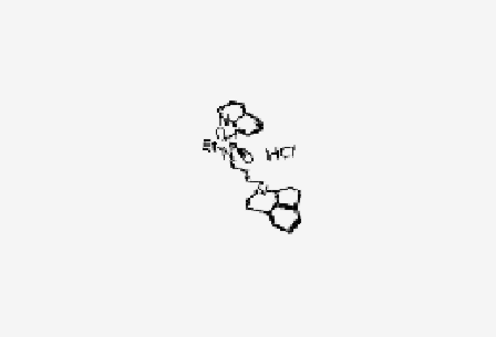 CCN(CCCCN1CCc2cccc3c2C1CC3)S(=O)(=O)c1cccc2cccnc12.Cl